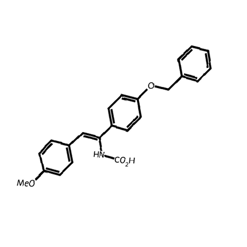 COc1ccc(C=C(NC(=O)O)c2ccc(OCc3ccccc3)cc2)cc1